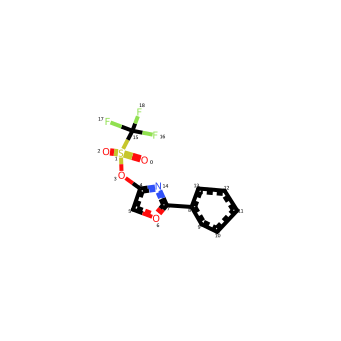 O=S(=O)(Oc1coc(-c2ccccc2)n1)C(F)(F)F